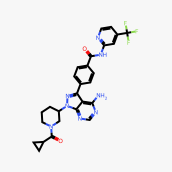 Nc1ncnc2c1c(-c1ccc(C(=O)Nc3cc(C(F)(F)F)ccn3)cc1)nn2C1CCCN(C(=O)C2CC2)C1